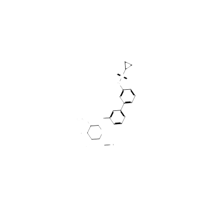 CC(=O)N[C@H]1[C@H](Oc2cccc(-c3cccc(NS(=O)(=O)C4CC4)c3)c2)O[C@H](CO)[C@H](O)[C@@H]1O